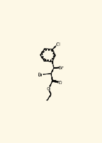 CCOC(=O)C(Br)C(Br)c1cccc(Cl)c1